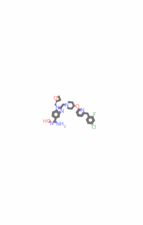 N/C(=N/O)c1ccc2c(c1)nc(CN1CCC(Oc3cccc(Cc4ccc(Cl)cc4F)n3)CC1)n2C[C@@H]1CCO1